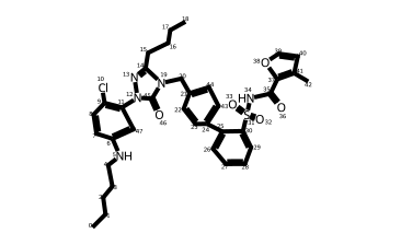 CCCCCNc1ccc(Cl)c(-n2nc(CCCC)n(Cc3ccc(-c4ccccc4S(=O)(=O)NC(=O)c4occc4C)cc3)c2=O)c1